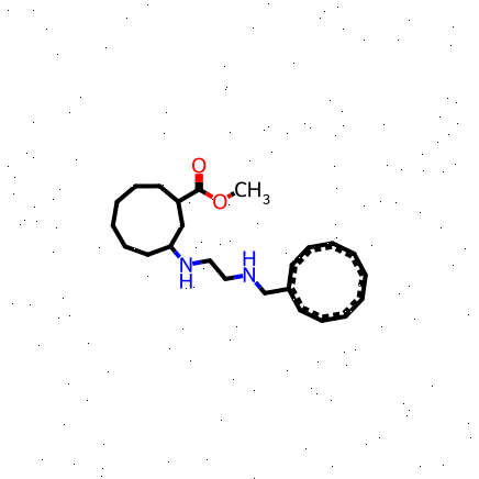 COC(=O)C1CCCCCCC(NCCNCc2ccccccccc2)C1